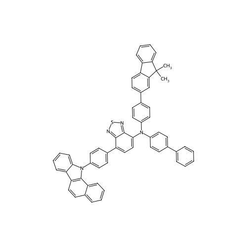 CC1(C)c2ccccc2-c2ccc(-c3ccc(N(c4ccc(-c5ccccc5)cc4)c4ccc(-c5ccc(-n6c7ccccc7c7ccc8ccccc8c76)cc5)c5nsnc45)cc3)cc21